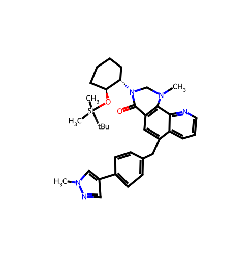 CN1CN([C@H]2CCCC[C@@H]2O[Si](C)(C)C(C)(C)C)C(=O)c2cc(Cc3ccc(-c4cnn(C)c4)cc3)c3cccnc3c21